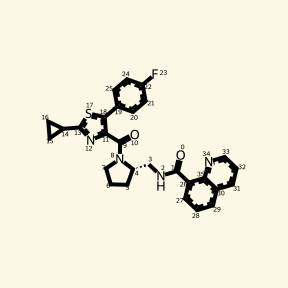 O=C(NC[C@@H]1CCCN1C(=O)c1nc(C2CC2)sc1-c1ccc(F)cc1)c1cccc2cccnc12